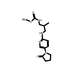 CC(CNC(=O)OC(C)(C)C)CNc1ccc(N2CCCC2=O)cn1